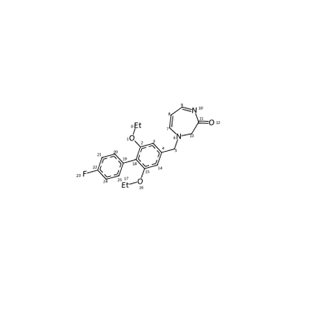 CCOc1cc(CN2C=CC=NC(=O)C2)cc(OCC)c1-c1ccc(F)cc1